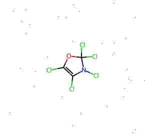 ClC1=C(Cl)N(Cl)C(Cl)(Cl)O1